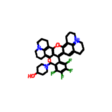 O=C(c1c(F)c(F)c(F)c(F)c1C1=c2cc3c4c(c2Oc2c1cc1c5c2CCCN5CCC1)CCC[N+]=4CCC3)N1CCC(O)CC1